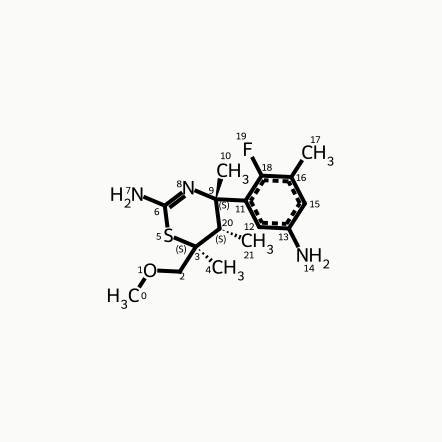 COC[C@@]1(C)SC(N)=N[C@](C)(c2cc(N)cc(C)c2F)[C@@H]1C